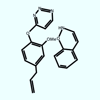 C1=Cc2ccccc2ON1.C=CCc1ccc(Oc2ccnnn2)c(OC)c1